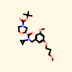 COCCCOc1cc(CN(C(=O)[C@H]2CN(C(=O)OC(C)(C)C)CCO2)C2CC2)cc(OC)c1